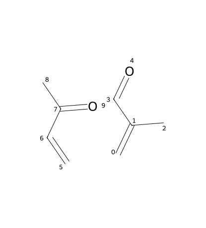 C=C(C)C=O.C=CC(C)=O